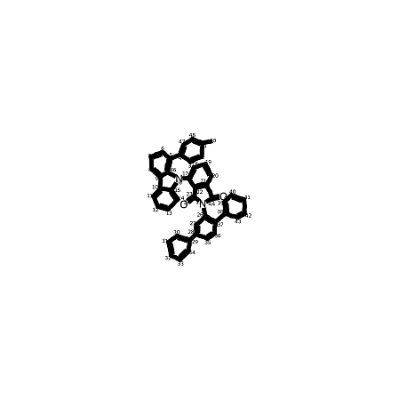 Cc1ccc(-c2cccc3c4ccccc4n(-c4cccc5c4C(=O)N(c4cc(-c6ccccc6)ccc4-c4ccccc4)C5=O)c23)cc1